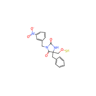 O=C1NC(COS)(Cc2ccccc2)C(=O)N1Cc1cccc([N+](=O)[O-])c1